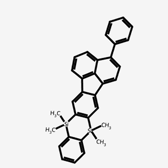 C[Si]1(C)c2ccccc2[Si](C)(C)c2cc3c(cc21)-c1cccc2c(-c4ccccc4)ccc-3c12